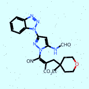 CCOC(=O)/C(CC1(C)CCOCC1)=C(\N=O)n1nc(-n2nnc3ccccc32)cc1NC=O